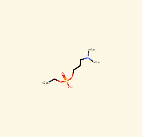 CCCCCCCCCCCOP(=O)(O)OCCCN(CCCCCCCCC)CCCCCCCCC